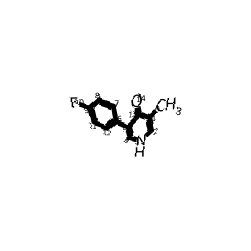 Cc1c[nH]cc(-c2ccc(F)cc2)c1=O